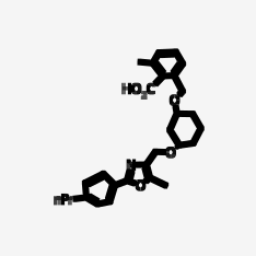 CCCc1ccc(-c2nc(CO[C@H]3CCCC(OCc4cccc(C)c4C(=O)O)C3)c(C)o2)cc1